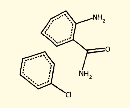 Clc1ccccc1.NC(=O)c1ccccc1N